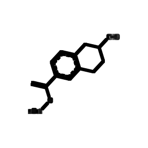 C=C(OCCCCCCCC)c1ccc2c(c1)CCC(C=O)C2